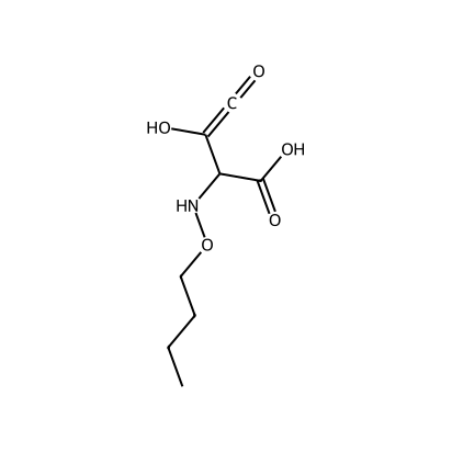 CCCCONC(C(=O)O)C(O)=C=O